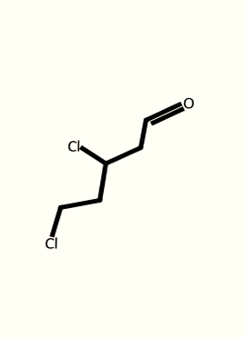 O=CCC(Cl)CCCl